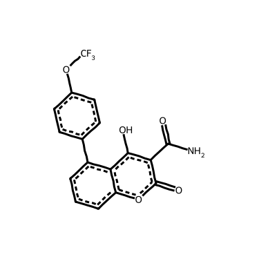 NC(=O)c1c(O)c2c(-c3ccc(OC(F)(F)F)cc3)cccc2oc1=O